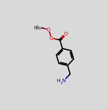 CC(C)(C)OOC(=O)c1ccc(CN)cc1